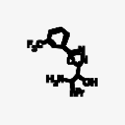 CCCC(N)C(O)c1nnc(-c2cccc(C(F)(F)F)c2)o1